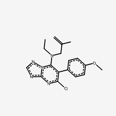 C=C(C)CN(CC)c1c(-c2ccc(OC)cc2)c(Cl)nc2ncnn12